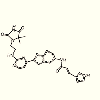 CC1(C)C(=O)NC(=O)N1CCNc1nccc(-c2cc3cc(NC(=O)C=Cc4c[nH]cn4)ccc3s2)n1